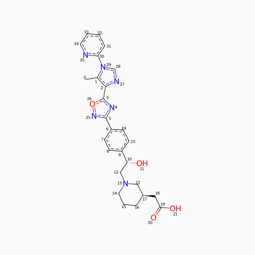 Cc1c(-c2nc(-c3ccc([C@H](O)CN4CCC[C@H](CC(=O)O)C4)cc3)no2)ncn1-c1ccccn1